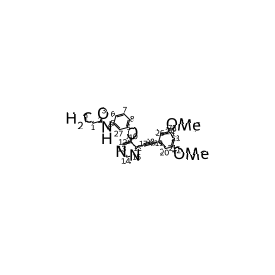 C=CC(=O)Nc1cccc(Oc2cncnc2C#Cc2cc(OC)cc(OC)c2)c1